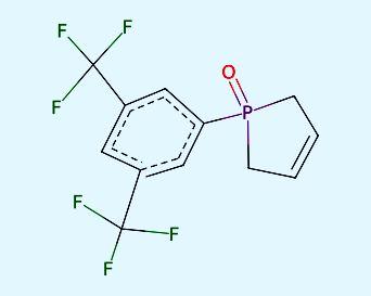 O=P1(c2cc(C(F)(F)F)cc(C(F)(F)F)c2)CC=CC1